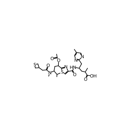 CC(=O)OC(CC(C(C)C)N(C)C(=O)CC1CSC1)c1nc(C(=O)NC(Cc2ncc(C)cn2)CC(C)C(=O)O)cs1